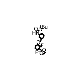 CCc1ccc(OCc2cccc(NC(=O)OC(C)(C)C)c2)c(F)c1C1OCCO1